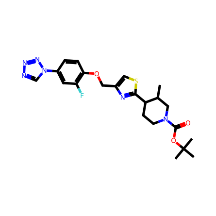 CC1CN(C(=O)OC(C)(C)C)CCC1c1nc(COc2ccc(-n3cnnn3)cc2F)cs1